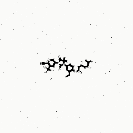 CCc1cc(N2C(=S)N(c3cnc(C#N)c(C(F)(F)F)c3)C(=O)C2(C)C)ccc1O[C@H](C)C[C@H](C)C[C@@H](C)C(C)C